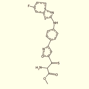 COC(=O)C(N)C(=S)c1cc(-c2ccc(Nc3nc4ccc(F)cc4s3)cc2)no1